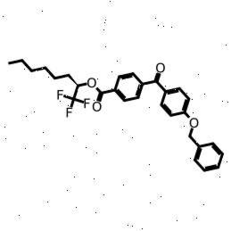 CCCCCC[C@@H](OC(=O)c1ccc(C(=O)c2ccc(OCc3ccccc3)cc2)cc1)C(F)(F)F